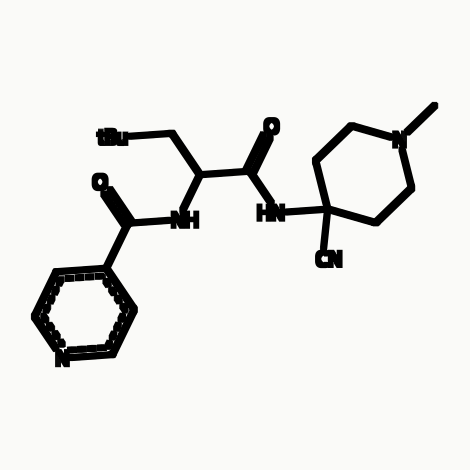 CN1CCC(C#N)(NC(=O)C(CC(C)(C)C)NC(=O)c2ccncc2)CC1